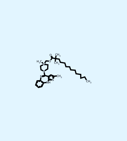 CCCCCCCCCCCCC(C)(C)C(=O)OC[N+]1(C)CCN(C2=Nc3ccccc3Nc3sc(C)cc32)CC1